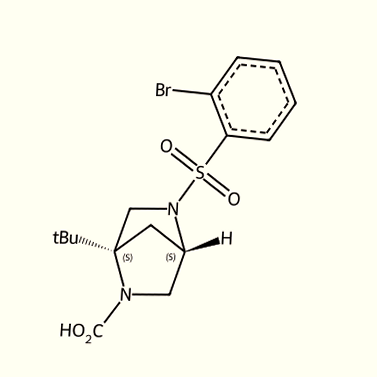 CC(C)(C)[C@]12C[C@@H](CN1C(=O)O)N(S(=O)(=O)c1ccccc1Br)C2